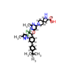 Cc1ccn(-c2cc(-c3ccc(C(C)(C)C)cc3)ccc2[C@@H](Oc2cc(N3CCC4(CC3)CN[C@H](C(=O)O)C4)nc(C)n2)C(F)(F)F)n1